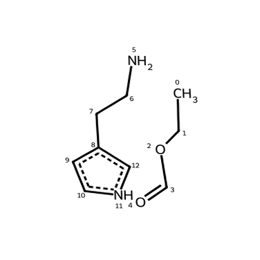 CCOC=O.NCCc1cc[nH]c1